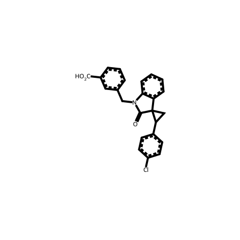 O=C(O)c1cccc(CN2C(=O)C3(CC3c3ccc(Cl)cc3)c3ccccc32)c1